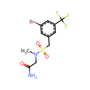 CN(CC(N)=O)S(=O)(=O)Cc1cc(Br)cc(C(F)(F)F)c1